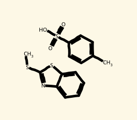 CSc1nc2ccccc2s1.Cc1ccc(S(=O)(=O)O)cc1